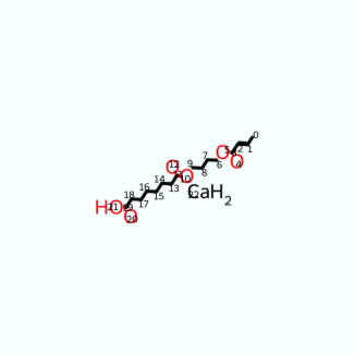 CC=CC(=O)OCCCCOC(=O)CCCCCCC(=O)O.[CaH2]